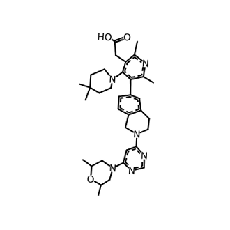 Cc1nc(C)c(-c2ccc3c(c2)CCN(c2cc(N4CC(C)OC(C)C4)ncn2)C3)c(N2CCC(C)(C)CC2)c1CC(=O)O